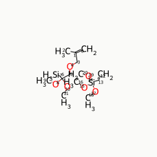 C=C(C)COCC([SiH3])(OC)OC.C=C[Si](OC)(OC)OC